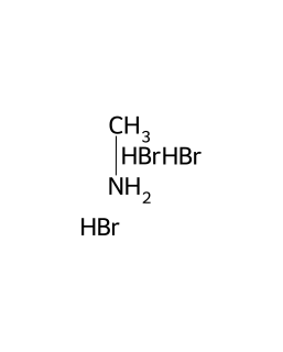 Br.Br.Br.CN